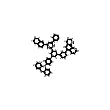 c1ccc(-c2cc(-c3ccc4ccccc4c3)nc(-c3cc(-c4ccc(N5c6ccccc6Sc6ccccc65)cc4)cc(-c4cccc(-c5cc6cccnc6c6ncccc56)c4)c3)n2)cc1